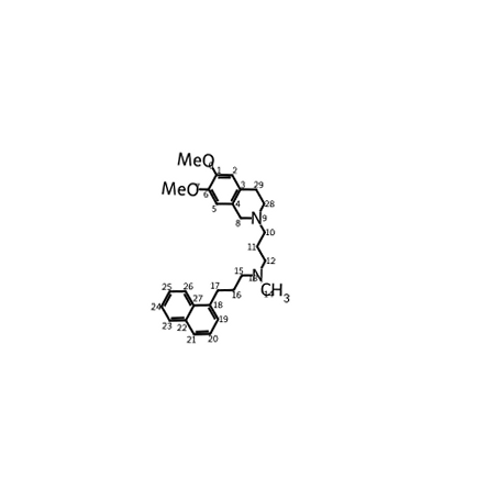 COc1cc2c(cc1OC)CN(CCCN(C)CCCc1cccc3ccccc13)CC2